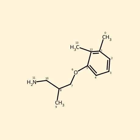 Cc1cccc(OCC(C)CN)c1C